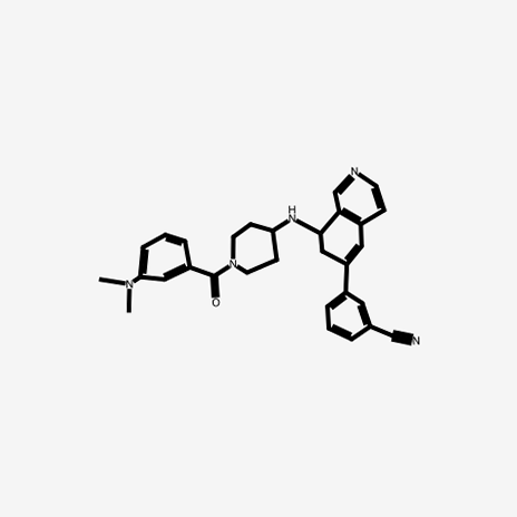 CN(C)c1cccc(C(=O)N2CCC(NC3CC(c4cccc(C#N)c4)=Cc4ccncc43)CC2)c1